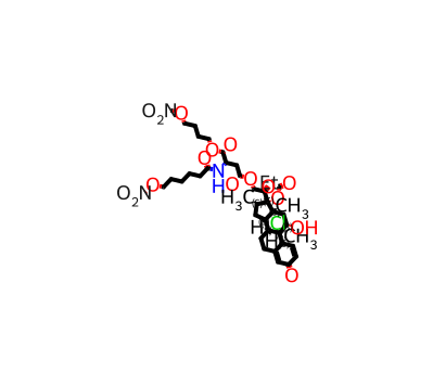 CCC(=O)O[C@@]1(C(=O)COC(=O)CC(NC(=O)CCCCCO[N+](=O)[O-])C(=O)OCCCCO[N+](=O)[O-])[C@@H](C)C[C@H]2[C@@H]3CCC4=CC(=O)C=C[C@]4(C)[C@@]3(Cl)[C@@H](O)C[C@@]21C